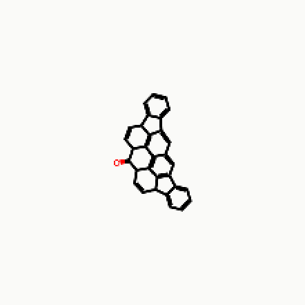 O=C1C2C=CC3c4ccccc4-c4cc5cc6c7c(c5c2c43)C1C=CC7c1ccccc1-6